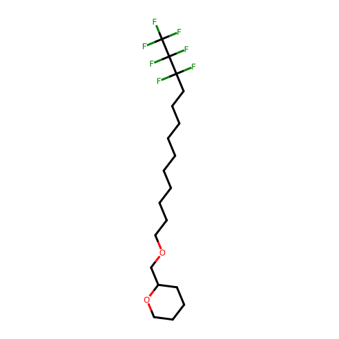 FC(F)(F)C(F)(F)C(F)(F)CCCCCCCCCCOCC1CCCCO1